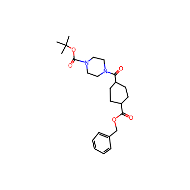 CC(C)(C)OC(=O)N1CCN(C(=O)C2CCC(C(=O)OCc3ccccc3)CC2)CC1